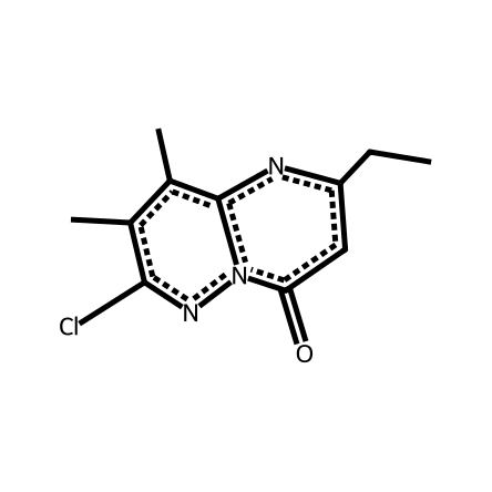 CCc1cc(=O)n2nc(Cl)c(C)c(C)c2n1